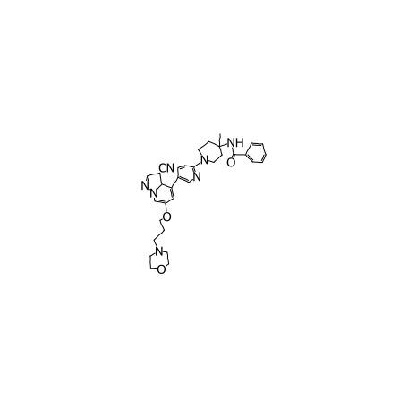 CC1(NC(=O)c2ccccc2)CCN(c2ccc(C3=CC(OCCCN4CCOCC4)=CN4N=CC(C#N)C34)cn2)CC1